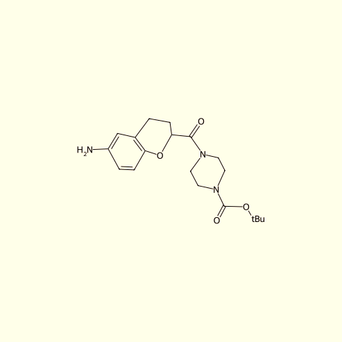 CC(C)(C)OC(=O)N1CCN(C(=O)C2CCc3cc(N)ccc3O2)CC1